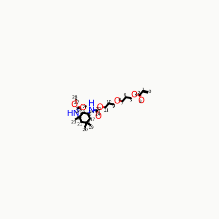 C=CC(=O)OCCCOCCCOC(=O)NC1CC(C)(C)CC(C)(NC(=O)OC)C1